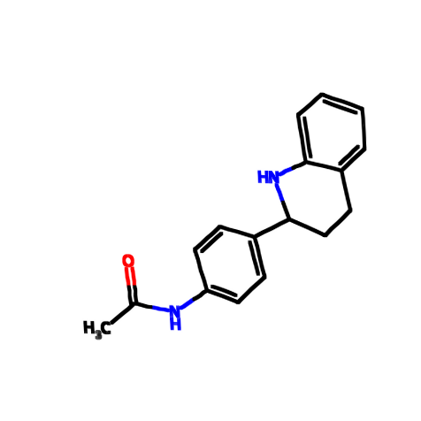 CC(=O)Nc1ccc(C2CCc3ccccc3N2)cc1